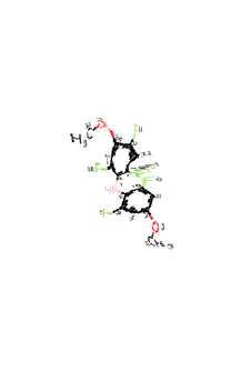 COc1cc(F)c(Bc2c(F)cc(F)c(OC)c2F)c(F)c1